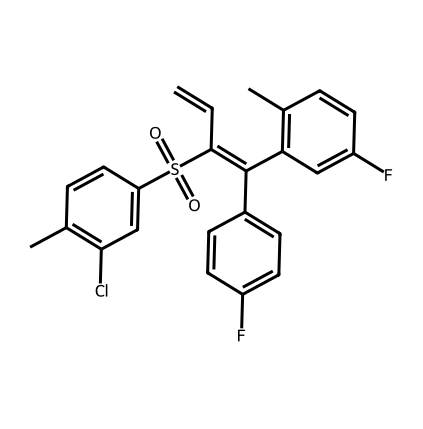 C=C/C(=C(/c1ccc(F)cc1)c1cc(F)ccc1C)S(=O)(=O)c1ccc(C)c(Cl)c1